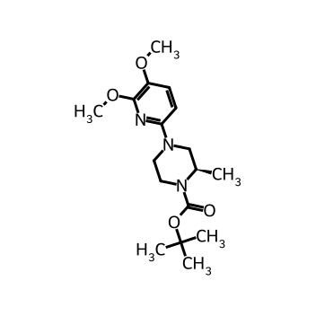 COc1ccc(N2CCN(C(=O)OC(C)(C)C)[C@H](C)C2)nc1OC